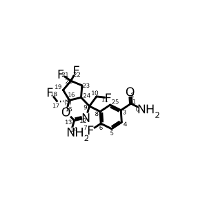 NC(=O)c1ccc(F)c(C2(CF)N=C(N)O[C@@]3(CF)CC(F)(F)CC23)c1